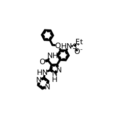 CC[S+]([O-])Nc1ccc(-c2n[nH]c(Nc3cnccn3)c2C(N)=O)cc1OCc1ccccc1